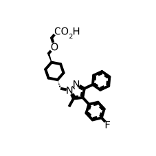 Cc1c(-c2ccc(F)cc2)c(-c2ccccc2)nn1C[C@H]1CC[C@H](COCC(=O)O)CC1